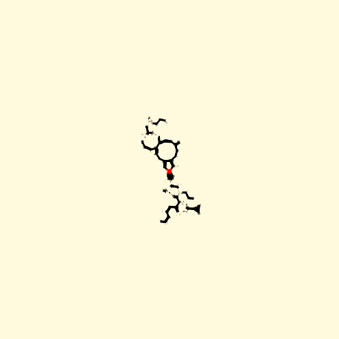 C=CC/C=C1/C/C=C2/C=C\C/N=C(/CN(C)CCC)NCC2=C=CC(=C)CC/C1=C/CCN/C(CN(CCC)C(=O)[C@H](NC(=O)C1CC1)C(=C)/C=C\C=C/C)=N\C